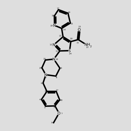 COc1ccc(CN2CCN(c3nc(-c4ccccn4)c(C(N)=O)s3)CC2)cc1